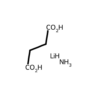 N.O=C(O)CCC(=O)O.[LiH]